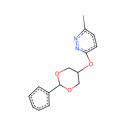 Ic1ccc(OC2COC(c3ccccc3)OC2)nn1